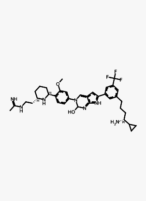 COc1cc(N2C=c3cc(-c4cc(CCC[C@@H](N)C5CC5)cc(C(F)(F)F)c4)[nH]c3=NC2O)ccc1[C@@H]1CCC[C@@H](CCNC(C)=N)N1